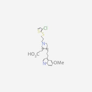 COc1ccc2nccc(CCC[C@@H]3CCN(CCCSc4sccc4Cl)C[C@@H]3CCC(=O)O)c2c1